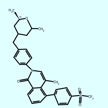 Cc1cn(-c2ccc(CC3CC(C)O[C@H](C)C3)cc2)c(=O)c2cccc(-c3ccc(S(=O)(=O)C(F)(F)F)cc3)c12